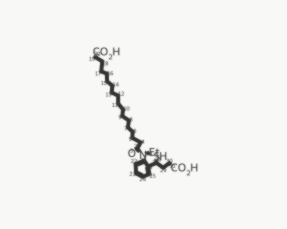 CCN(C(=O)CCCCCCCCCCCCCCCCC(=O)O)c1ccccc1C(S)CCC(=O)O